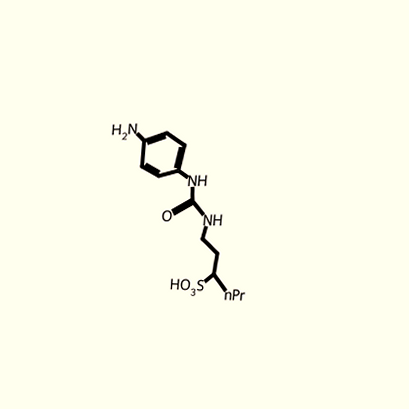 CCCC(CCNC(=O)Nc1ccc(N)cc1)S(=O)(=O)O